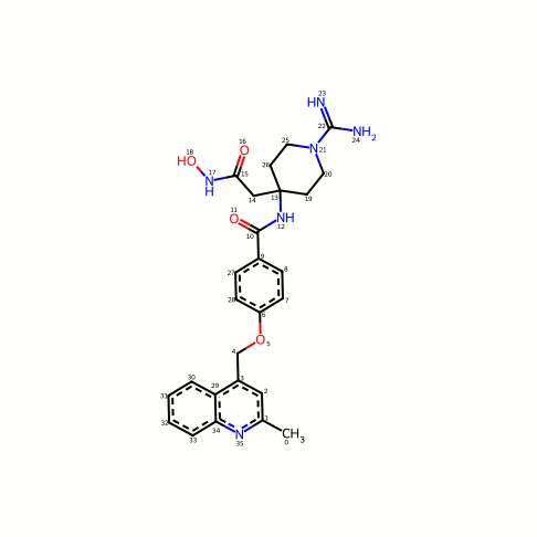 Cc1cc(COc2ccc(C(=O)NC3(CC(=O)NO)CCN(C(=N)N)CC3)cc2)c2ccccc2n1